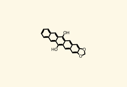 Oc1c2cc3ccccc3cc2c(O)c2cc3cc4c(cc3cc12)OCO4